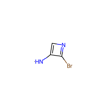 [NH]C1=CN=C1Br